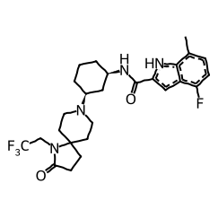 Cc1ccc(F)c2cc(C(=O)N[C@@H]3CCC[C@H](N4CCC5(CCC(=O)N5CC(F)(F)F)CC4)C3)[nH]c12